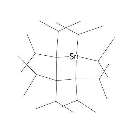 CC(C)C1(C(C)C)[C](C(C)C)(C(C)C)[Sn]([CH](C)C)([CH](C)C)[C]1(C(C)C)C(C)C